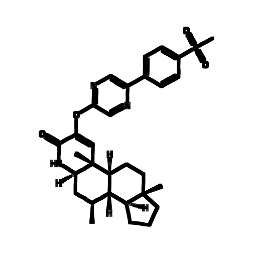 C[C@H]1C[C@H]2NC(=O)C(Oc3cnc(-c4ccc(S(C)(=O)=O)cc4)cn3)=C[C@]2(C)[C@H]2CC[C@]3(C)CCC[C@H]3[C@H]12